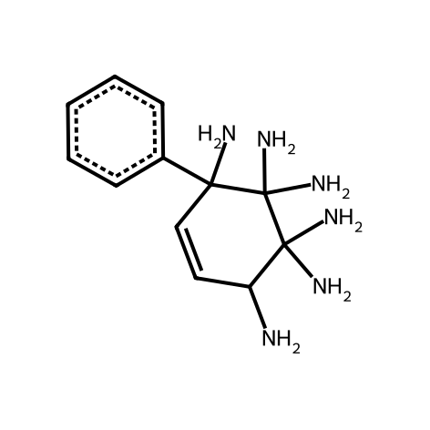 NC1C=CC(N)(c2ccccc2)C(N)(N)C1(N)N